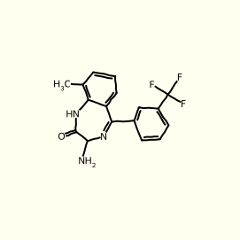 Cc1cccc2c1NC(=O)C(N)N=C2c1cccc(C(F)(F)F)c1